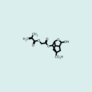 C=C(C)C(=O)OCC(=O)OC1C2OC(O)C3CC1(C(=O)O)CC32